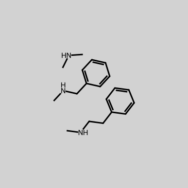 CNC.CNCCc1ccccc1.CNCc1ccccc1